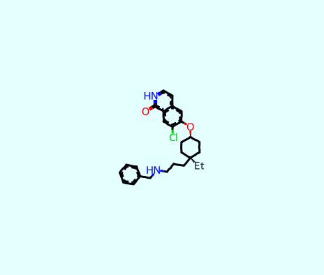 CC[C@]1(CCCNCc2ccccc2)CC[C@H](Oc2cc3cc[nH]c(=O)c3cc2Cl)CC1